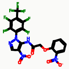 O=C(COc1ccccc1[N+](=O)[O-])Nc1c([N+](=O)[O-])cnn1-c1c(F)c(F)c(C(F)(F)F)c(F)c1F